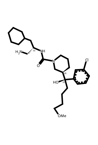 COCCCC[C@@](O)(c1cccc(Cl)c1)[C@@H]1CCCN(C(=O)N[C@H](CN)CC2CCCCC2)C1